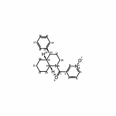 O=C(c1ccc[n+]([O-])c1)N1CC[C@H](c2ccccc2)[C@H]2CCCC[C@H]21